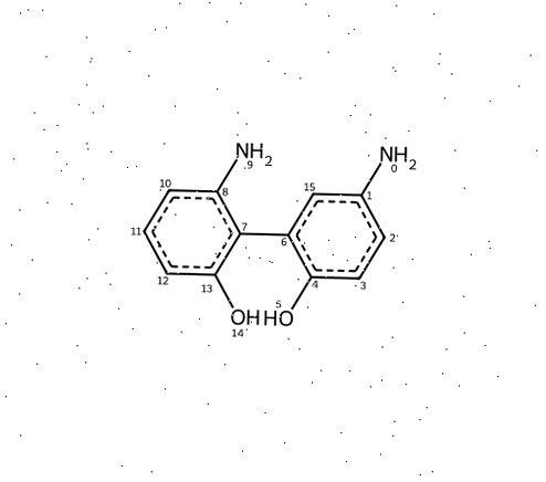 Nc1ccc(O)c(-c2c(N)cccc2O)c1